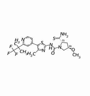 CO[C@@H]1C[C@@H](C(N)=S)N(C(=O)Nc2nc(C)c(-c3ccnc(C(C)(C)C(F)(F)F)c3)s2)C1